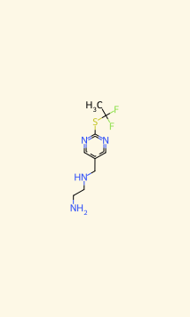 CC(F)(F)Sc1ncc(CNCCN)cn1